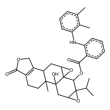 Cc1cccc(Nc2ccccc2C(=O)OC2C3(C(C)C)OC3CC3(O)C4(C)CCC5=C(COC5=O)C4CC4OC423)c1C